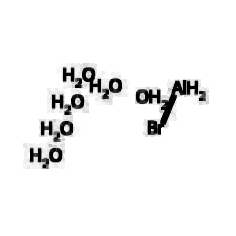 O.O.O.O.O.O.[AlH2][Br]